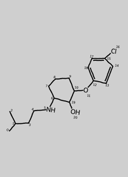 CC(C)CCNC1CCCC(Oc2ccc(Cl)cc2)C1O